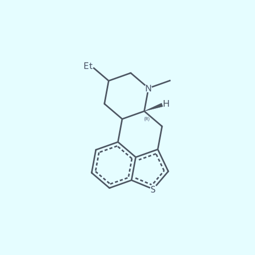 CCC1CC2c3cccc4scc(c34)C[C@H]2N(C)C1